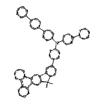 CC1(C)c2ccc(-c3ccc(N(c4ccc(-c5ccccc5)cc4)c4ccc(-c5ccc(-c6ccccc6)cc5)cc4)cc3)cc2-c2cc3c4ccccc4c4ccccc4c3cc21